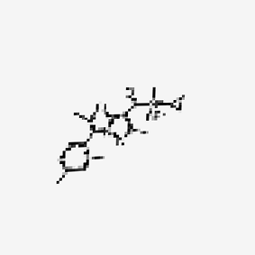 CCC[N+](C)(C(=O)c1c(C)nn2c(-c3ccc(C)cc3C)c(C)oc12)C1CC1